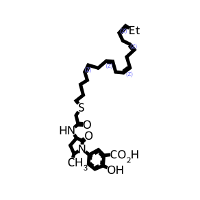 CC/C=C\C/C=C\C/C=C\C/C=C\C/C=C\CCCCSCC(=O)NC1CC(C)N(c2ccc(O)c(C(=O)O)c2)C1=O